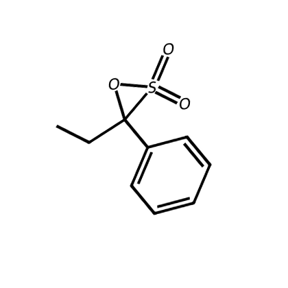 CCC1(c2ccccc2)OS1(=O)=O